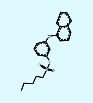 CCCCCS(=O)(=O)Oc1cccc(Oc2cccc3ccccc23)c1